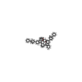 N#Cc1cccc(-c2c(-n3c4ccccc4c4cc(-c5ccc(-c6ccccc6)nc5)ccc43)cncc2-n2c3ccccc3c3cc(-c4ccc(-c5ccccc5)nc4)ccc32)c1